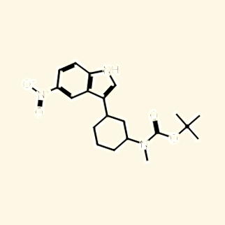 CN(C(=O)OC(C)(C)C)C1CCCC(c2c[nH]c3ccc([N+](=O)[O-])cc23)C1